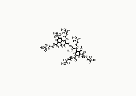 C\C(=C/C=C/C(C)=[N+](\CCCS(=O)(=O)O)c1cc(C(=O)NCCS(=O)(=O)O)cc(C(=O)NCCS(=O)(=O)O)c1C)N(CCCS(=O)(=O)O)c1cc(S(=O)(=O)O)cc(C(=O)OCCCS(=O)(=O)O)c1C